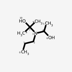 CCCN(C(C)O)C(C)(C)O